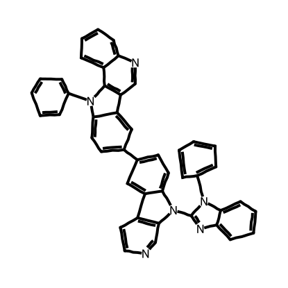 c1ccc(-n2c(-n3c4ccc(-c5ccc6c(c5)c5cnc7ccccc7c5n6-c5ccccc5)cc4c4ccncc43)nc3ccccc32)cc1